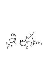 CNC(=O)c1c(C(F)(F)F)sc2nc(Cn3nc(C)cc3C(F)(F)F)cc(=O)n12